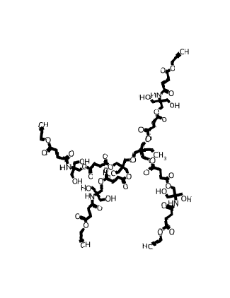 C#CCOC(=O)CCC(=O)NC(CO)(CO)COC(=O)CCC(=O)OCC(CC)(COCC(CC)(COC(=O)CCC(=O)OCC(CO)(CO)NC(=O)CCC(=O)OCC#C)COC(=O)CCC(=O)OCC(CO)(CO)NC(=O)CCC(=O)OCC#C)COC(=O)CCC(=O)OCC(CO)(CO)NC(=O)CCC(=O)OCC#C